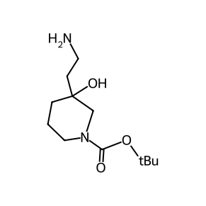 CC(C)(C)OC(=O)N1CCCC(O)(CCN)C1